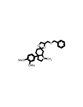 COc1ccc(C23CCN(C)C2CC2(CC3)OCC(COCc3ccccc3)O2)cc1OC